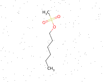 CCCCCCOS(C)(=O)=O